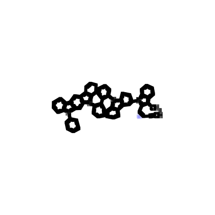 C#C/C=C\c1c(C)c2ccccc2n1-c1ccc2c(c1)c1ccccc1n2-c1ccc#cc1-c1ccccc1-n1c2c(c3cc4c5ccccc5n(-c5ccccc5)c4cc31)C=CCC2